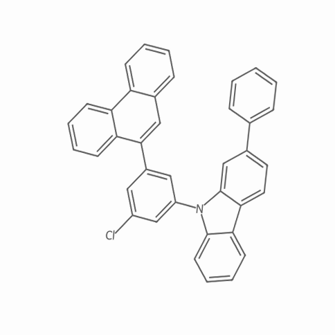 Clc1cc(-c2cc3ccccc3c3ccccc23)cc(-n2c3ccccc3c3ccc(-c4ccccc4)cc32)c1